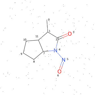 CC1C(=O)N(N=O)C2CCCC12